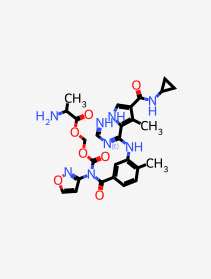 Cc1ccc(C(=O)N(C(=O)OCOC(=O)C(C)N)c2ccon2)cc1N/C(=N/C=N)c1[nH]cc(C(=O)NC2CC2)c1C